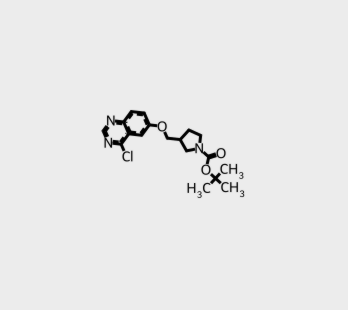 CC(C)(C)OC(=O)N1CCC(COc2ccc3ncnc(Cl)c3c2)C1